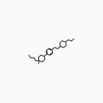 CCCCC1(C)CCC(c2ccc(CCC3CCC(CCC)CC3)cc2)CC1